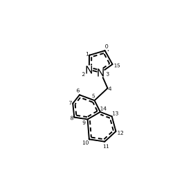 [c]1cnn(Cc2cccc3ccccc23)c1